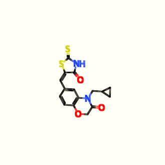 O=C1NC(=S)SC1=Cc1ccc2c(c1)N(CC1CC1)C(=O)CO2